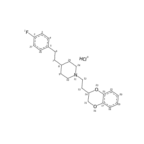 Cl.Fc1ccc(CCC2CCN(CCC3COc4ccccc4O3)CC2)cc1